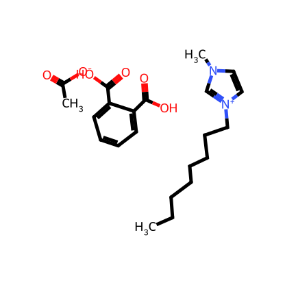 CC(=O)[O-].CCCCCCCC[n+]1ccn(C)c1.O=C(O)c1ccccc1C(=O)O